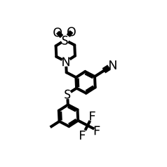 Cc1cc(Sc2ccc(C#N)cc2CN2CCS(=O)(=O)CC2)cc(C(F)(F)F)c1